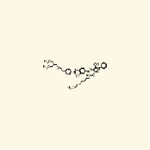 CCCCCCCCNOc1nn(-c2ccccc2)c(O)c1/N=N/c1ccc(/N=N/c2ccc(CCOCC(CC)CC)cc2)c(Cl)c1